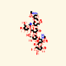 CC(=O)N[C@H]1C(O)[C@H](O[C@@H]2OC(CO)[C@H](O)C(O)[C@@H]2O)C(CO)O[C@H]1OC1C(O)[C@H](O)[C@@H](CO)O[C@@H]1OC1C(O)[C@H](O[C@@H]2C(CO)O[C@@H](O[C@@H]3C(CO)O[C@@H](C)[C@@H](NC(C)=O)C3O)[C@@H](NC(C)=O)C2O)OC(CO[C@H]2OC(CO)[C@@H](O)C(O)[C@H]2O)[C@H]1O